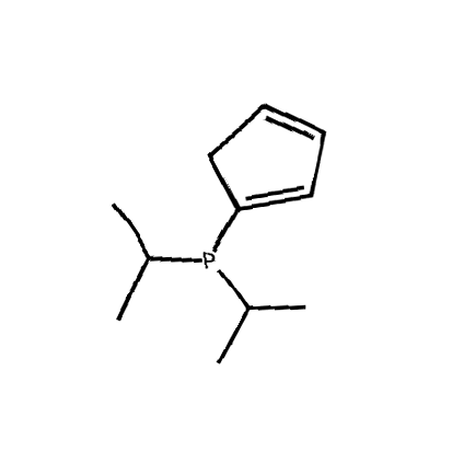 CC(C)P(C1=CC=CC1)C(C)C